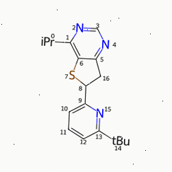 CC(C)c1ncnc2c1SC(c1cccc(C(C)(C)C)n1)C2